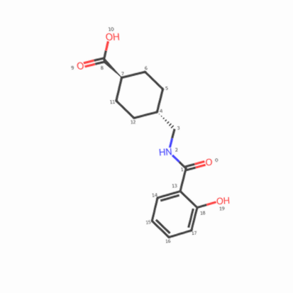 O=C(NC[C@H]1CC[C@H](C(=O)O)CC1)c1ccccc1O